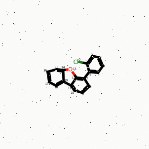 Clc1ccccc1-c1cccc2c1oc1ccccc12